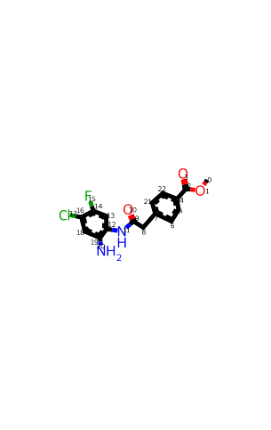 COC(=O)c1ccc(CC(=O)Nc2cc(F)c(Cl)cc2N)cc1